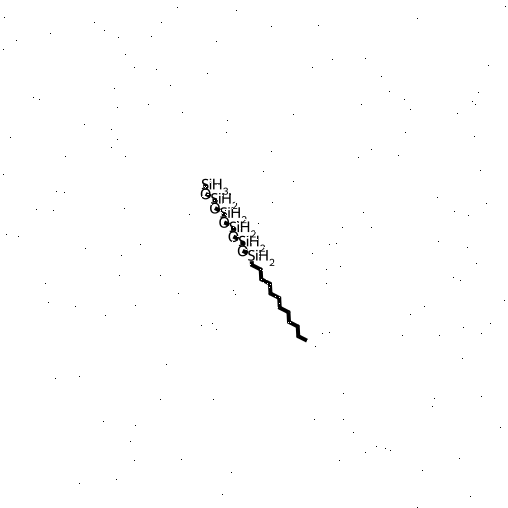 CCCCCCCCCCCC[SiH2]O[SiH2]O[SiH2]O[SiH2]O[SiH2]O[SiH3]